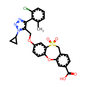 Cc1cccc(Cl)c1-c1nnn(C2CC2)c1COc1ccc2c(c1)S(=O)(=O)Cc1ccc(C(=O)O)cc1O2